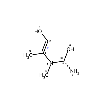 C/C(=C\O)N(C)[C@@H](N)O